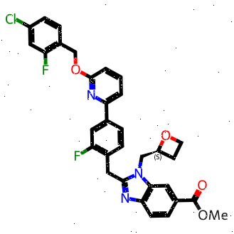 COC(=O)c1ccc2nc(Cc3ccc(-c4cccc(OCc5ccc(Cl)cc5F)n4)cc3F)n(C[C@@H]3CCO3)c2c1